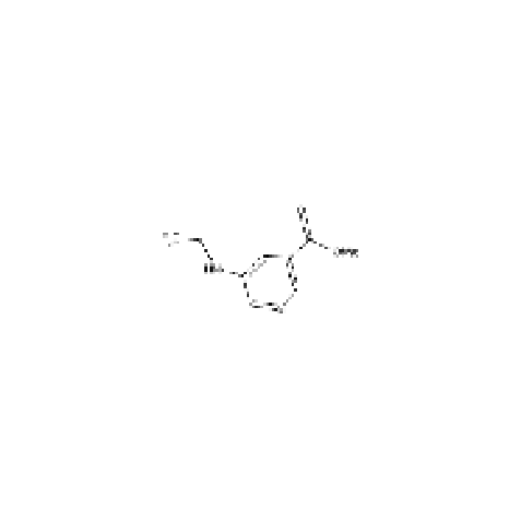 COC(=O)c1cncc(NCC(F)(F)F)c1